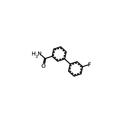 NC(=O)c1cccc(-c2cccc(F)c2)c1